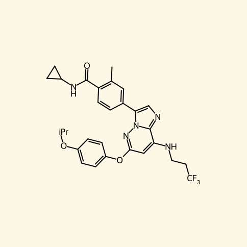 Cc1cc(-c2cnc3c(NCCC(F)(F)F)cc(Oc4ccc(OC(C)C)cc4)nn23)ccc1C(=O)NC1CC1